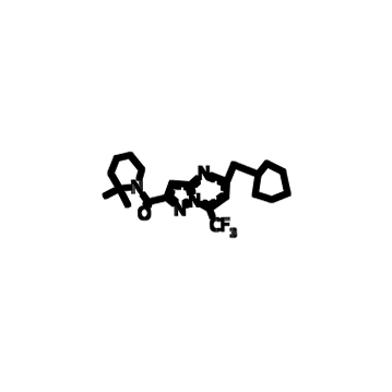 CC1(C)CCCCN1C(=O)c1cc2nc(CC3CCCCC3)cc(C(F)(F)F)n2n1